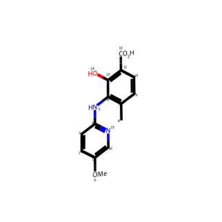 COc1ccc(Nc2c(C)ccc(C(=O)O)c2O)nc1